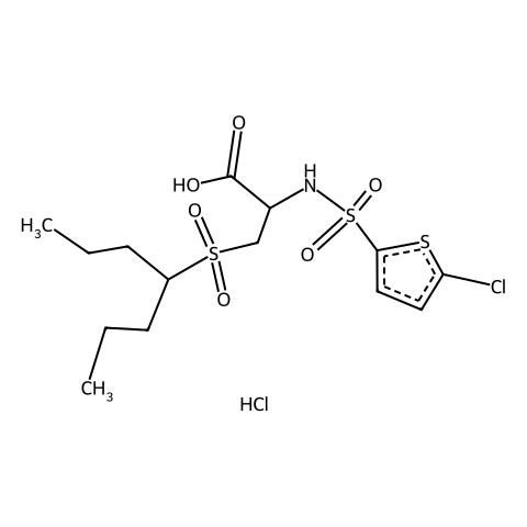 CCCC(CCC)S(=O)(=O)CC(NS(=O)(=O)c1ccc(Cl)s1)C(=O)O.Cl